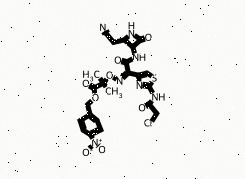 CC(C)(ON=C(C(=O)NC1C(=O)NC1CC#N)c1csc(NC(=O)CCl)n1)C(=O)OCc1ccc([N+](=O)[O-])cc1